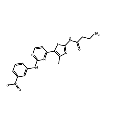 Cc1nc(NC(=O)CCN)sc1-c1ccnc(Nc2cccc([N+](=O)[O-])c2)n1